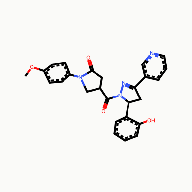 COc1ccc(N2CC(C(=O)N3N=C(c4cccnc4)CC3c3ccccc3O)CC2=O)cc1